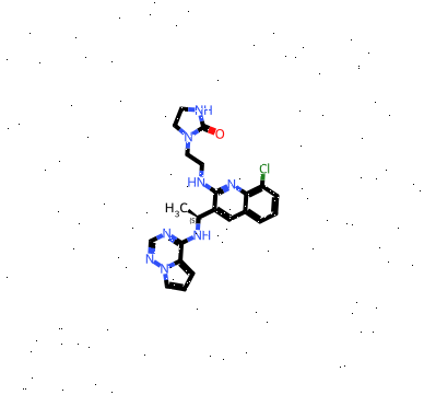 C[C@H](Nc1ncnn2cccc12)c1cc2cccc(Cl)c2nc1NCCN1CCNC1=O